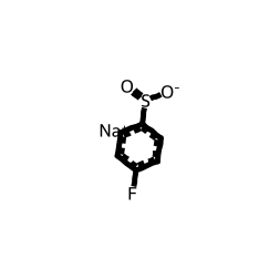 O=S([O-])c1ccc(F)cc1.[Na+]